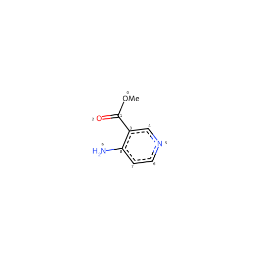 COC(=O)c1cnccc1N